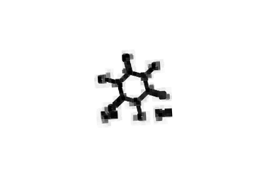 O=c1n(Cl)c(=O)n(Cl)c(=O)n1Cl.[NaH].[NaH]